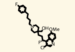 COc1ccc2ncc(Cl)c([C@H](F)CCC3(CO)CCN(CCCCc4ccc(F)cc4)CC3)c2c1